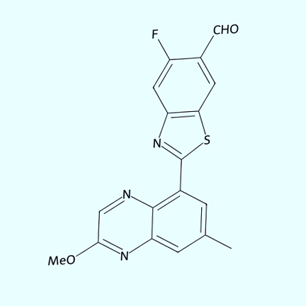 COc1cnc2c(-c3nc4cc(F)c(C=O)cc4s3)cc(C)cc2n1